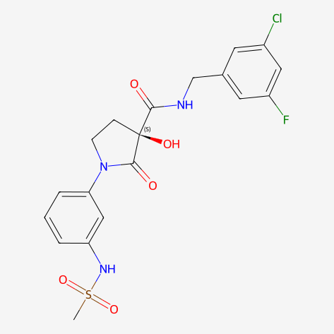 CS(=O)(=O)Nc1cccc(N2CC[C@](O)(C(=O)NCc3cc(F)cc(Cl)c3)C2=O)c1